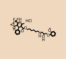 COC(=O)C1=C(C(F)(F)F)NC(C)=C(C(=O)OCCCCCCNCC(O)COc2ccccc2OC)C1c1ccccc1F.Cl